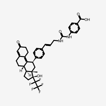 C[C@]12C[C@H](c3ccc(/C=C/CNC(=O)Nc4ccc(C(=O)O)cc4)cc3)C3=C4CCC(=O)C=C4CC[C@H]3[C@@H]1CC[C@@]2(O)C(F)(F)C(F)(F)F